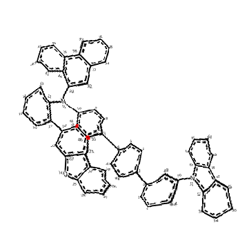 c1cc(-c2ccc(-c3ccc(N(c4ccccc4-c4ccc5c(c4)oc4ccccc45)c4cc5ccccc5c5ccccc45)cc3)cc2)cc(-n2c3ccccc3c3ccccc32)c1